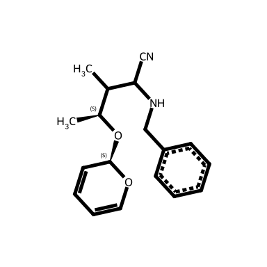 CC(C(C#N)NCc1ccccc1)[C@H](C)O[C@@H]1C=CC=CO1